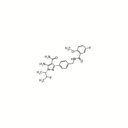 COc1ccc(F)cc1C(=O)NCc1ccc(-c2nn(C(C)C(C)F)c(N)c2C(N)=O)cc1